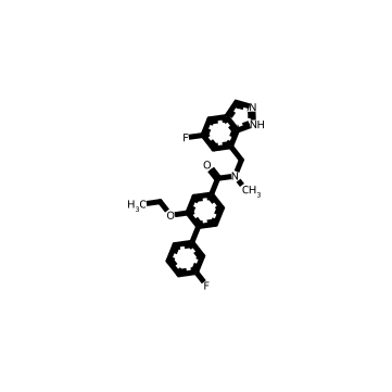 CCOc1cc(C(=O)N(C)Cc2cc(F)cc3cn[nH]c23)ccc1-c1cccc(F)c1